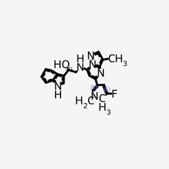 C=N/C=C(\C=C(/C)F)c1cc(NC[C@@H](O)c2c[nH]c3ccccc23)n2ncc(C)c2n1